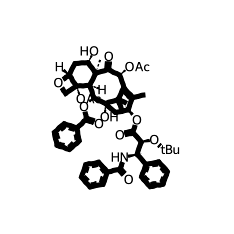 CC(=O)O[C@H]1C(=O)[C@]2(C)[C@@H](O)C[C@H]3OC[C@]3(OC(C)=O)[C@@H]2[C@@H](OC(=O)c2ccccc2)[C@]2(O)C[C@H](OC(=O)[C@@H](OC(C)(C)C)[C@H](NC(=O)c3ccccc3)c3ccccc3)C(C)=C1C2(C)C